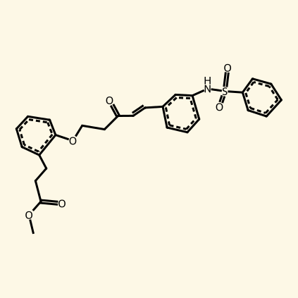 COC(=O)CCc1ccccc1OCCC(=O)/C=C/c1cccc(NS(=O)(=O)c2ccccc2)c1